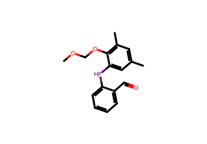 COCOc1c(C)cc(C)cc1Pc1ccccc1C=O